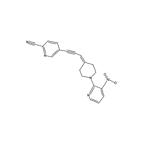 N#Cc1ccc(C#CC=C2CCN(c3ncccc3[N+](=O)[O-])CC2)cn1